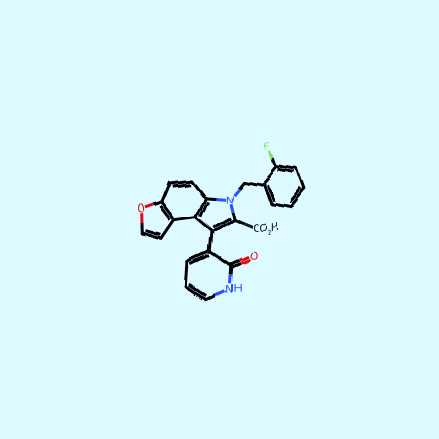 O=C(O)c1c(-c2ccc[nH]c2=O)c2c3ccoc3ccc2n1Cc1ccccc1F